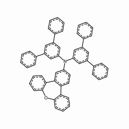 c1ccc(-c2cc(-c3ccccc3)cc(N(c3cc(-c4ccccc4)cc(-c4ccccc4)c3)c3ccc4c(c3)-c3ccccc3Oc3ccccc3-4)c2)cc1